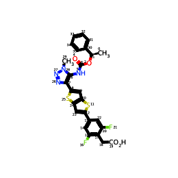 C[C@@H](OC(=O)Nc1c(-c2cc3sc(-c4cc(F)c(CC(=O)O)c(F)c4)cc3s2)nnn1C)c1ccccc1